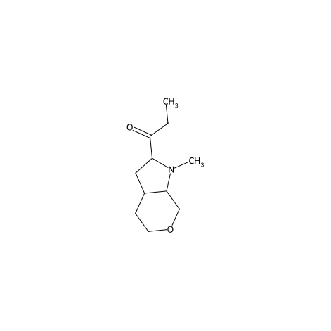 CCC(=O)C1CC2CCOCC2N1C